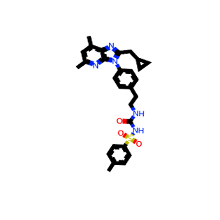 Cc1ccc(S(=O)(=O)NC(=O)NCCc2ccc(-n3c(CC4CC4)nc4c(C)cc(C)nc43)cc2)cc1